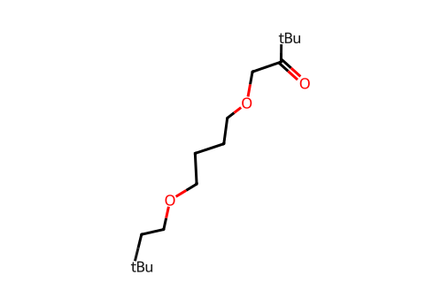 CC(C)(C)CCOCCCCOCC(=O)C(C)(C)C